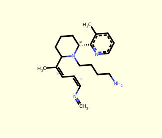 C=N/C=C\C=C(\C)C1CCC[C@H](c2ncccc2C)N1CCCCN